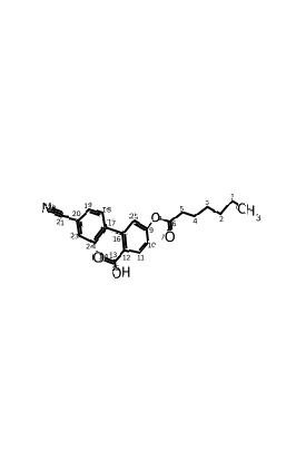 CCCCCCC(=O)Oc1ccc(C(=O)O)c(-c2ccc(C#N)cc2)c1